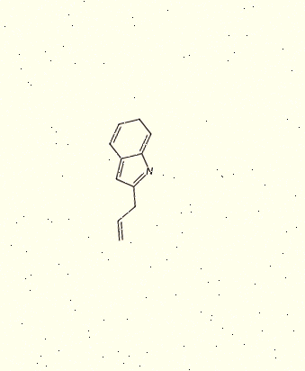 C=CCC1=NC2=CCC=CC2=C1